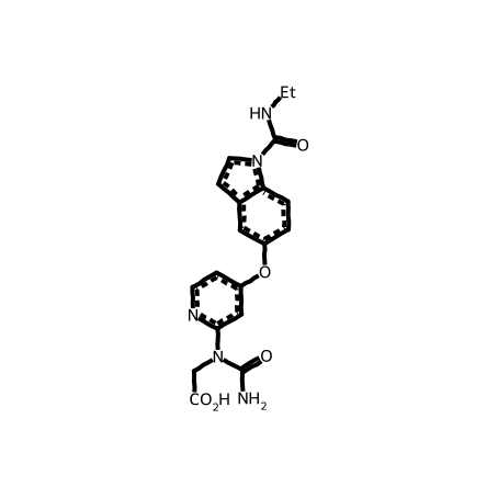 CCNC(=O)n1ccc2cc(Oc3ccnc(N(CC(=O)O)C(N)=O)c3)ccc21